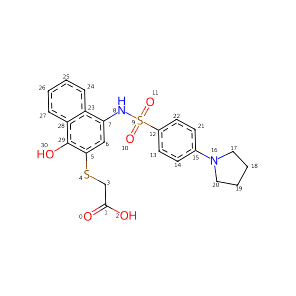 O=C(O)CSc1cc(NS(=O)(=O)c2ccc(N3CCCC3)cc2)c2ccccc2c1O